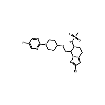 CCc1cc2n(n1)C(COC1CCN(c3ncc(F)cn3)CC1)C(NS(C)(=O)=O)CC2